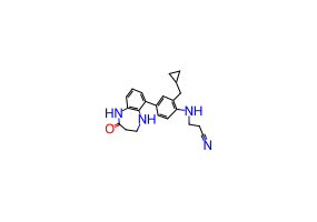 N#CCCNc1ccc(-c2cccc3c2NCCC(=O)N3)cc1CC1CC1